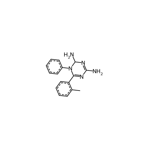 Cc1ccccc1C1=NC(N)=NC(N)N1c1ccccc1